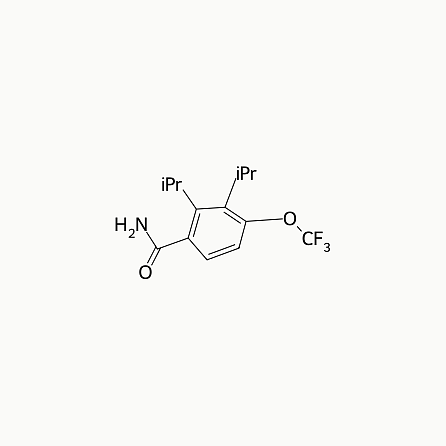 CC(C)c1c(OC(F)(F)F)ccc(C(N)=O)c1C(C)C